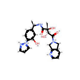 C[C@@H](NC(=O)[C@](C)(O)[C@@H](O)C(=O)N1Cc2cccnc2C1)c1ccc(-n2cccn2)c(O)c1